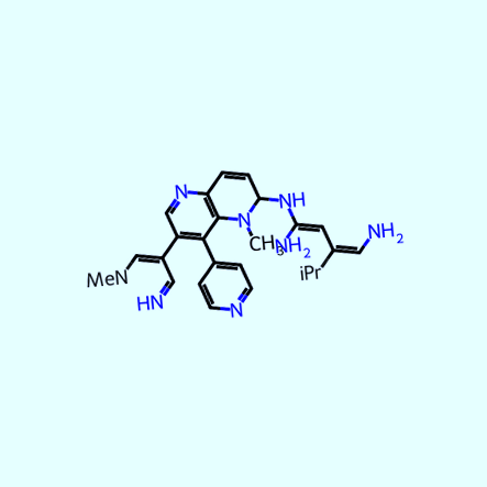 CN/C=C(\C=N)c1cnc2c(c1-c1ccncc1)N(C)C(N/C(N)=C/C(=C\N)C(C)C)C=C2